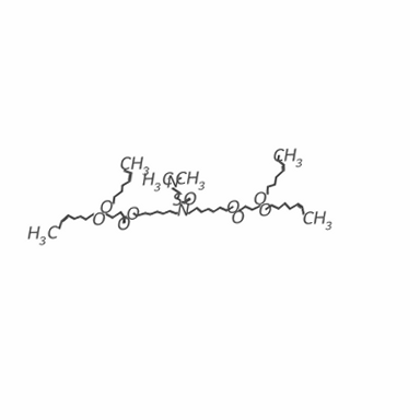 CC/C=C\CCCCOC(CCC(=O)OCCCCCCCN(CCCCCCCOC(=O)CCC(OCCCC/C=C\CC)OCCCC/C=C\CC)C(=O)SCCN(C)C)OCCCC/C=C\CC